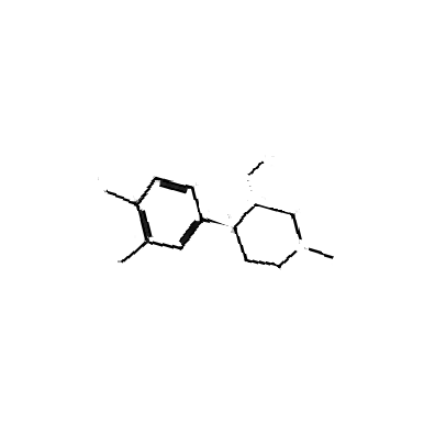 CN1CC[C@@H](c2ccc(Cl)c(Cl)c2)[C@H](CO)C1